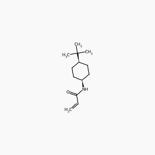 C=CC(=O)N[C@H]1CC[C@@H](C(C)(C)C)CC1